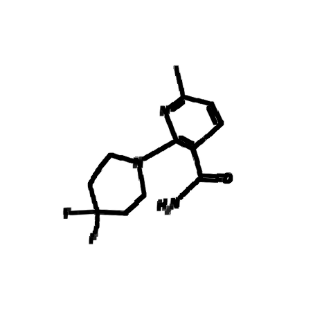 Cc1ccc(C(N)=O)c(N2CCC(F)(F)CC2)n1